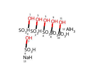 O=S(=O)(O)O.O=S(=O)(O)O.O=S(=O)(O)O.O=S(=O)(O)O.O=S(=O)(O)O.O=S(=O)(O)O.[AlH3].[NaH]